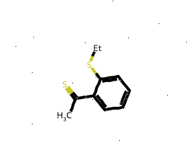 CCSc1ccccc1C(C)=S